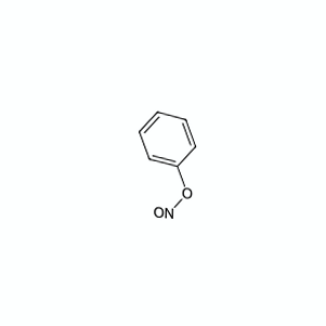 O=NOc1ccccc1